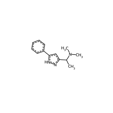 CC(c1cc(-c2ccccc2)[nH]n1)N(C)C